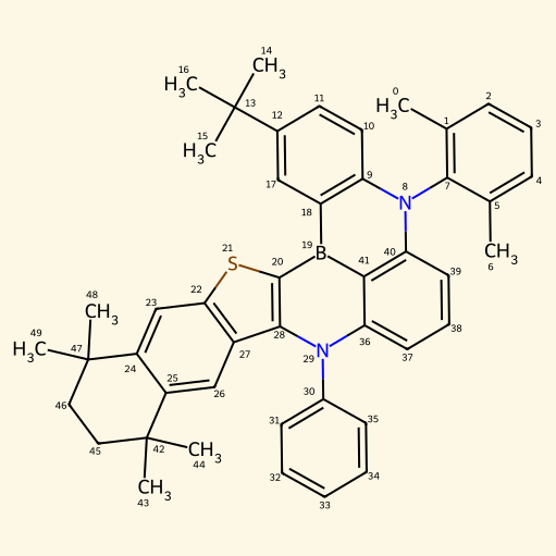 Cc1cccc(C)c1N1c2ccc(C(C)(C)C)cc2B2c3sc4cc5c(cc4c3N(c3ccccc3)c3cccc1c32)C(C)(C)CCC5(C)C